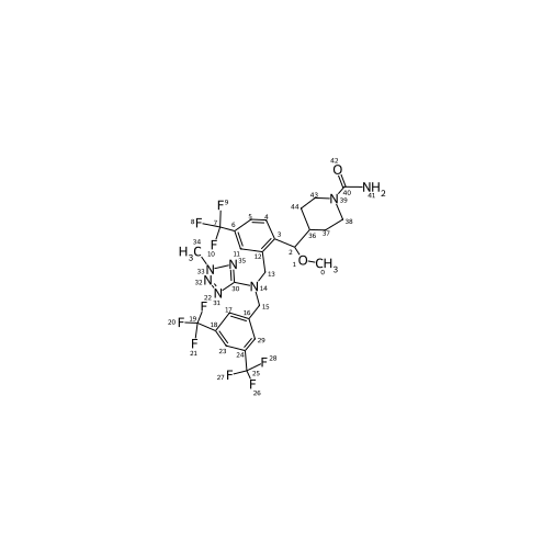 COC(c1ccc(C(F)(F)F)cc1CN(Cc1cc(C(F)(F)F)cc(C(F)(F)F)c1)c1nnn(C)n1)C1CCN(C(N)=O)CC1